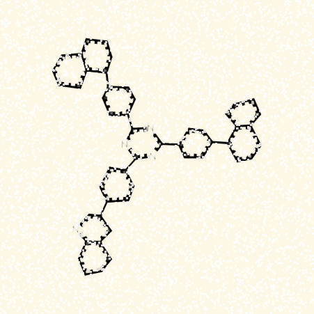 c1ccc2ncc(-c3ccc(-c4nc(-c5ccc(-c6cccc7ccccc67)cc5)nc(-c5ccc(-c6cccc7ccccc67)cc5)n4)cc3)cc2c1